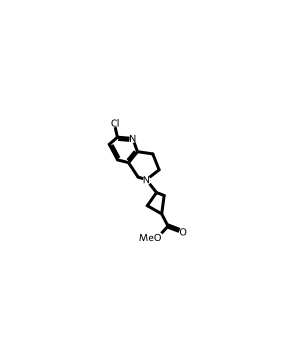 COC(=O)C1CC(N2CCc3nc(Cl)ccc3C2)C1